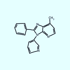 Cc1ccnc2c1nc(-c1ccccc1)n2-c1cccnc1